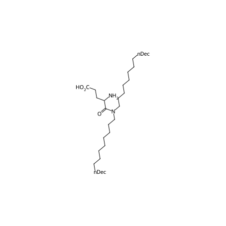 CCCCCCCCCCCCCCCCCCN(CCCCCCCCCCCCCCCCCC)C(=O)C(N)CCC(=O)O